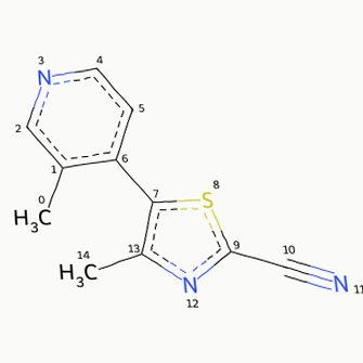 Cc1cnccc1-c1sc(C#N)nc1C